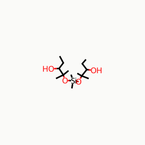 CCC(O)C(C)(C)O[Si](C)(C)OC(C)(C)C(O)CC